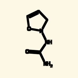 NC(=O)NN1CC=CO1